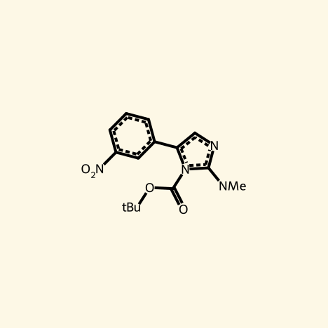 CNc1ncc(-c2cccc([N+](=O)[O-])c2)n1C(=O)OC(C)(C)C